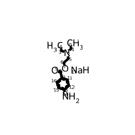 CCN(CC)CCOC(=O)c1ccc(N)cc1.[NaH]